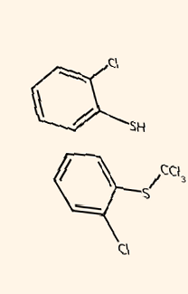 Clc1ccccc1SC(Cl)(Cl)Cl.Sc1ccccc1Cl